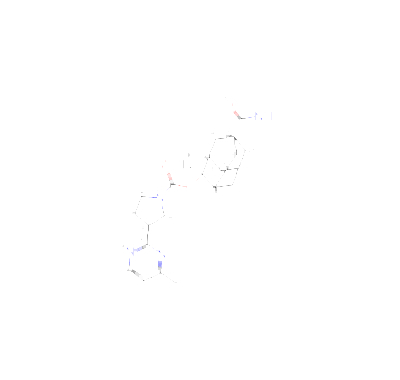 Cc1ccnc(C2CCN(C(=O)O[C@H]3C4CC5CC3C[C@](C(N)=O)(C5)C4)C2)n1